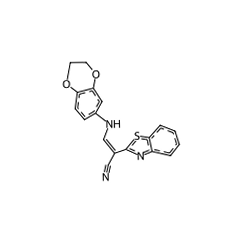 N#CC(=CNc1ccc2c(c1)OCCO2)c1nc2ccccc2s1